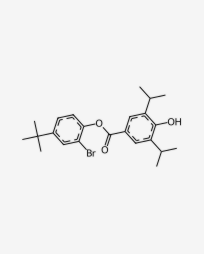 CC(C)c1cc(C(=O)Oc2ccc(C(C)(C)C)cc2Br)cc(C(C)C)c1O